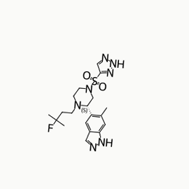 Cc1cc2[nH]ncc2cc1[C@H]1CN(S(=O)(=O)c2cn[nH]n2)CCN1CCC(C)(C)F